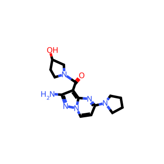 Nc1nn2ccc(N3CCCC3)nc2c1C(=O)N1CCC(O)C1